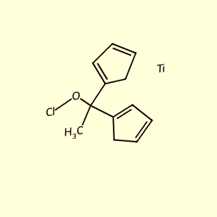 CC(OCl)(C1=CC=CC1)C1=CC=CC1.[Ti]